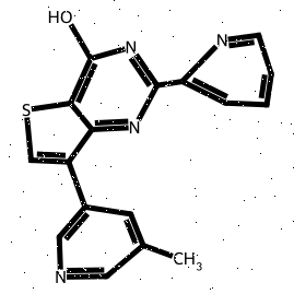 Cc1cncc(-c2csc3c(O)nc(-c4ccccn4)nc23)c1